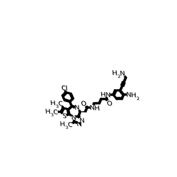 Cc1sc2c(c1C)C(c1ccc(Cl)cc1)=N[C@@H](CC(=O)NCCCC(=O)Nc1ccc(N)c(C#CCN)c1)c1nnc(C)n1-2